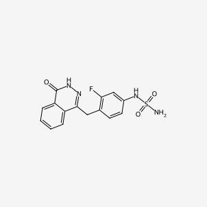 NS(=O)(=O)Nc1ccc(Cc2n[nH]c(=O)c3ccccc23)c(F)c1